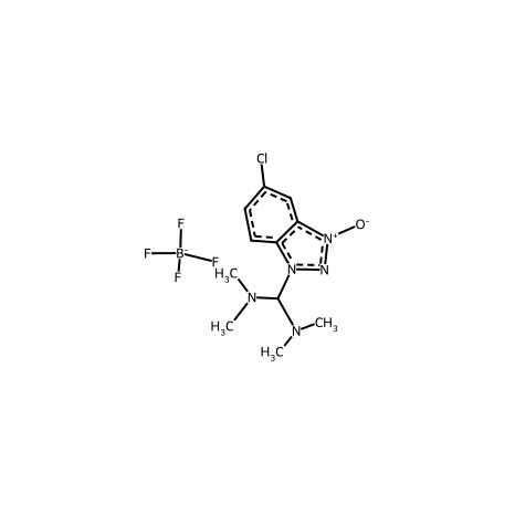 CN(C)C(N(C)C)n1n[n+]([O-])c2cc(Cl)ccc21.F[B-](F)(F)F